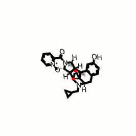 O=C(c1cccc[n+]1[O-])N1C[C@H]2C[C@@]34CC[C@@H]1[C@@H]2[C@@]31CCN(CC2CC2)[C@@H]4Cc2ccc(O)cc21